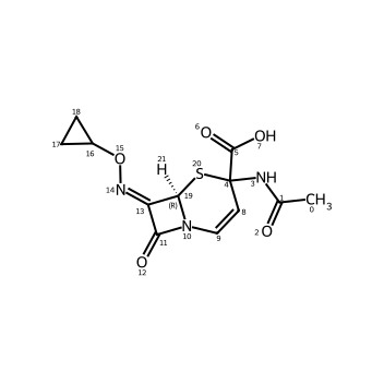 CC(=O)NC1(C(=O)O)C=CN2C(=O)C(=NOC3CC3)[C@H]2S1